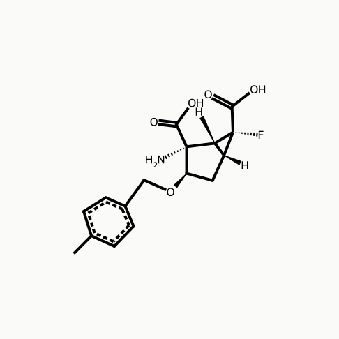 Cc1ccc(CO[C@@H]2C[C@@H]3[C@H]([C@]2(N)C(=O)O)[C@@]3(F)C(=O)O)cc1